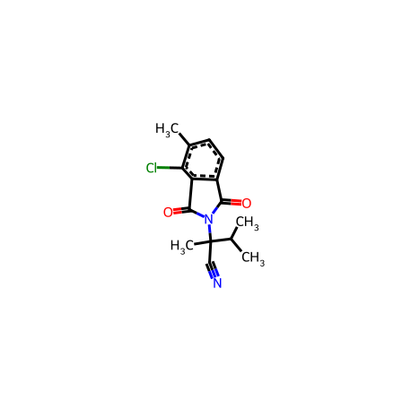 Cc1ccc2c(c1Cl)C(=O)N(C(C)(C#N)C(C)C)C2=O